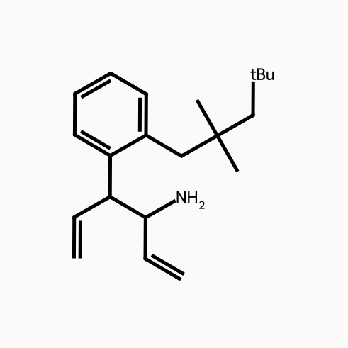 C=CC(N)C(C=C)c1ccccc1CC(C)(C)CC(C)(C)C